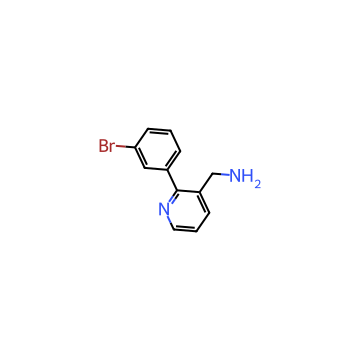 NCc1cccnc1-c1cccc(Br)c1